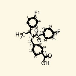 CC(c1ccc(F)cc1)N(Cc1ccc(C(=O)O)cc1)S(=O)(=O)c1ccc(F)cc1